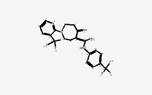 N=C1CCN(c2ncccc2C(F)(F)F)CC/C1=C(/N)Nc1ccc(C(F)(F)F)cc1